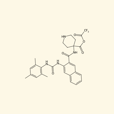 Cc1cc(C)c(NC(=O)Nc2cc3ccccc3cc2C(=O)NC2(C(=O)OC(=O)C(F)(F)F)CCNCC2)c(C)c1